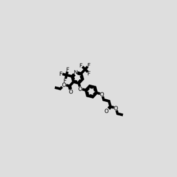 CCOC(=O)CCOc1ccc(Oc2cc(C(F)(F)F)nc(C(F)(F)F)c2C(=O)OCC)cc1